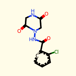 O=C1CN(NC(=O)c2ccccc2Cl)C(=O)CN1